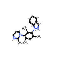 Cc1cc(C)c(-[n+]2cccnc2C)c(C)c1-n1ncc2ccccc21